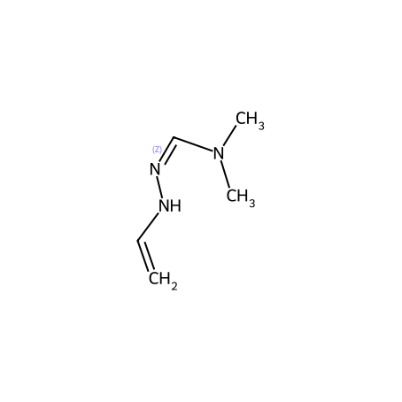 C=CN/N=C\N(C)C